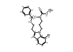 CN(CCCn1c(CCOCc2ccccc2)nc2cccc(Br)c21)C(=O)OC(C)(C)C